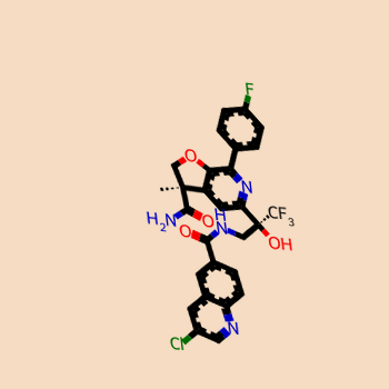 C[C@]1(C(N)=O)COc2c1cc([C@@](O)(CNC(=O)c1ccc3ncc(Cl)cc3c1)C(F)(F)F)nc2-c1ccc(F)cc1